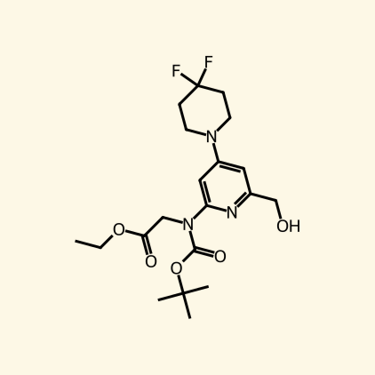 CCOC(=O)CN(C(=O)OC(C)(C)C)c1cc(N2CCC(F)(F)CC2)cc(CO)n1